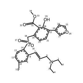 CCN(CC)C/C=C/c1cc(F)ccc1S(=O)(=O)Cc1ccc(-c2ccoc2)c(O)c1C(=O)OC